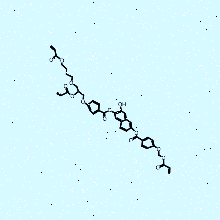 C=CC(=O)OCCCCOCC(COc1ccc(C(=O)Oc2cc3ccc(OC(=O)c4ccc(OCOC(=O)C=C)cc4)cc3cc2O)cc1)OC(=O)C=C